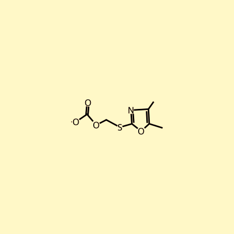 Cc1nc(SCOC([O])=O)oc1C